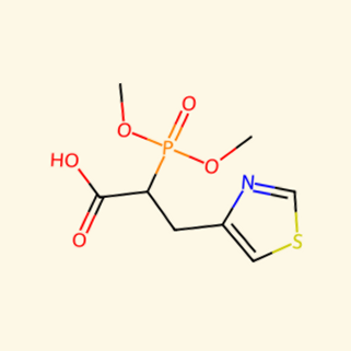 COP(=O)(OC)C(Cc1cscn1)C(=O)O